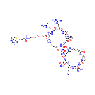 CC(O)C1NC(=O)[C@H](C)NC(=O)[C@H](CCCNC(=N)N)NC(=O)[C@H](CCCNC(=N)N)NC(=O)[C@@H](NC(=O)COCCOCCOCCNC(=O)CCCC[C@H]2SC[C@H]3NC(=O)N[C@H]32)Cc2cn(nn2)CCCC[C@@H](C(=O)NCC(=O)N[C@H]2Cc3cn(nn3)CCCC[C@@H](C(N)=O)NC(=O)[C@@H]3CCCN3C(=O)CNC(=O)[C@H](Cc3c[nH]cn3)NC(=O)[C@H](CCCCN)NC(=O)[C@H](CCC(N)=O)NC2=O)NC(=O)[C@H](CO)NC1=O